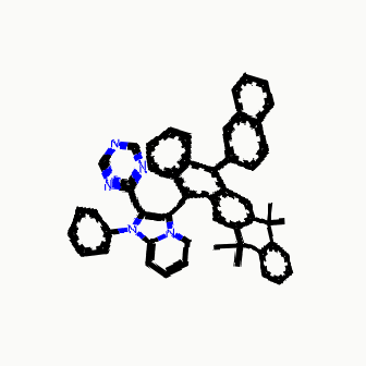 CC1(C)c2ccccc2C(C)(C)c2cc3c(-c4ccc5ccccc5c4)c4ccccc4c(C4=C(c5ncncn5)N(c5ccccc5)C5=CC=CCN54)c3cc21